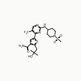 CC(C)(O)Cc1sc(-c2nc(NC3CCN(S(C)(=O)=O)CC3)ncc2C(F)(F)F)cc1C(N)=O